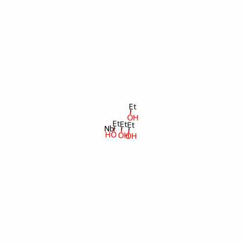 CCO.CCO.CCO.CCO.[Nb]